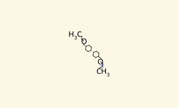 CC/C=C\OCC1CCC([C@H]2CC[C@H](COCCC)CC2)CC1